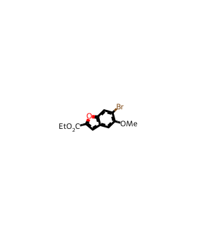 CCOC(=O)c1cc2cc(OC)c(Br)cc2o1